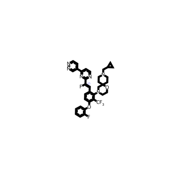 F/C(=C\c1ccc(Oc2ccccc2F)c(C(F)(F)F)c1N1CCOC2(CCN(CC3CC3)CC2)C1)c1nccc(-c2ccnnc2)n1